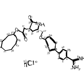 Cl.N=C(N)c1ccc(-c2ccc(OC[C@@H]3C[C@@H](CC(=O)OC4CCCCCCC4)C(=O)N3)cc2)cc1